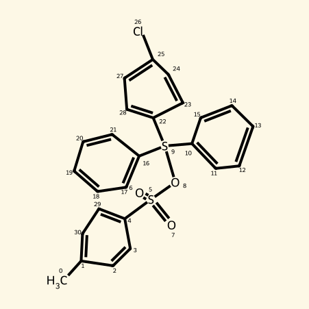 Cc1ccc(S(=O)(=O)OS(c2ccccc2)(c2ccccc2)c2ccc(Cl)cc2)cc1